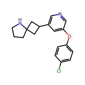 Clc1ccc(Oc2cncc(C3CC4(CCCN4)C3)c2)cc1